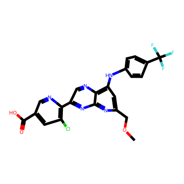 COCc1cc(Nc2ccc(C(F)(F)F)cc2)c2ncc(-c3ncc(C(=O)O)cc3Cl)nc2n1